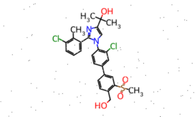 Cc1c(Cl)cccc1-c1nc(C(C)(C)O)cn1-c1ccc(-c2ccc(CO)c(S(C)(=O)=O)c2)cc1Cl